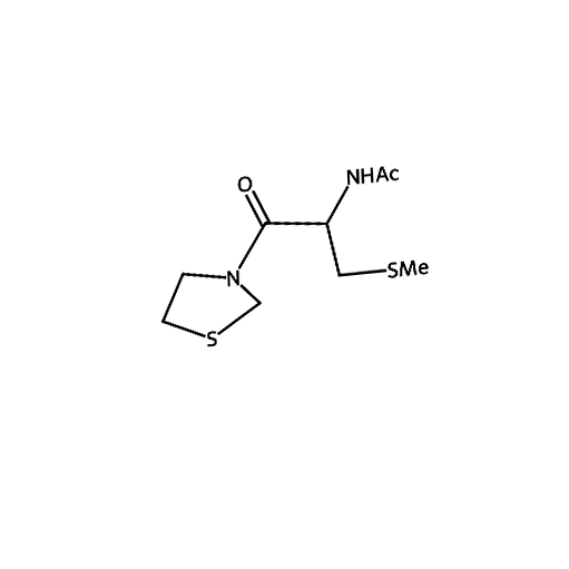 CSCC(NC(C)=O)C(=O)N1CCSC1